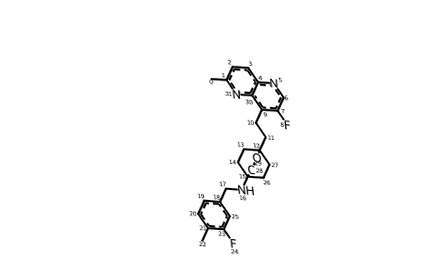 Cc1ccc2ncc(F)c(CCC34CCC(NCc5ccc(C)c(F)c5)(CC3)CO4)c2n1